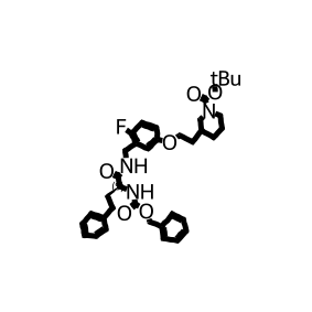 CC(C)(C)OC(=O)N1CCCC(CCOc2ccc(F)c(CNC(=O)[C@H](CCc3ccccc3)NC(=O)OCc3ccccc3)c2)C1